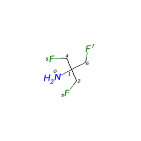 NC(CF)(CF)CF